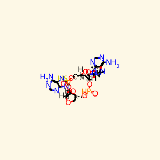 CC(C)(C)[Si](C)(C)OC1[C@H]2O[PH](=O)OC[C@@]34CO[C@@H]([C@H](n5cnc6c(N)ncnc65)O3)[C@@H]4O[P@](=O)(S)OC[C@H]1O[C@H]2n1cnc2c(N)ncnc21